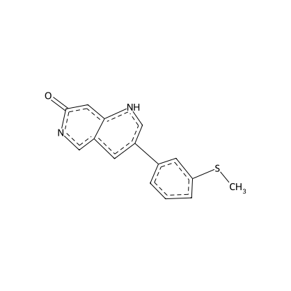 CSc1cccc(-c2c[nH]c3cc(=O)ncc-3c2)c1